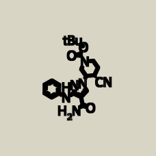 CC(C)(C)OC(=O)N1CC[C@H](C#N)C(n2cc(C(N)=O)c(Nc3ccccc3)n2)C1